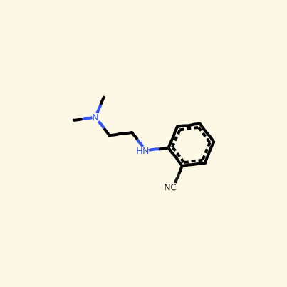 CN(C)CCNc1ccccc1C#N